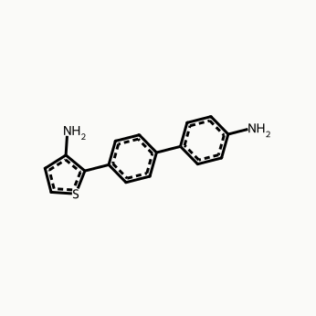 Nc1ccc(-c2ccc(-c3sccc3N)cc2)cc1